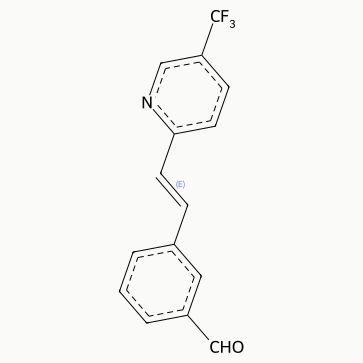 O=Cc1cccc(/C=C/c2ccc(C(F)(F)F)cn2)c1